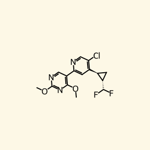 COc1ncc(-c2cc([C@H]3C[C@@H]3C(F)F)c(Cl)cn2)c(OC)n1